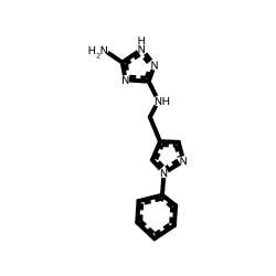 Nc1nc(NCc2cnn(-c3ccccc3)c2)n[nH]1